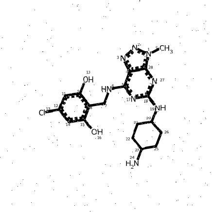 Cn1nnc2c(NCc3c(O)cc(Cl)cc3O)nc(NC3CCC(N)CC3)nc21